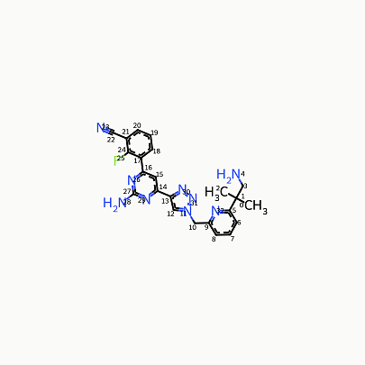 CC(C)(CN)c1cccc(Cn2cc(-c3cc(-c4cccc(C#N)c4F)nc(N)n3)nn2)n1